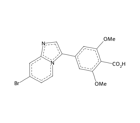 COc1cc(-c2cnc3cc(Br)ccn23)cc(OC)c1C(=O)O